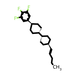 CCC/C=C/[C@H]1CC[C@H]([C@H]2CC[C@H](c3cc(F)c(F)c(F)c3)CC2)CC1